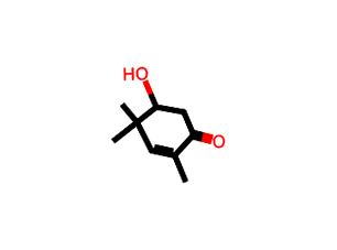 CC1=CC(C)(C)C(O)CC1=O